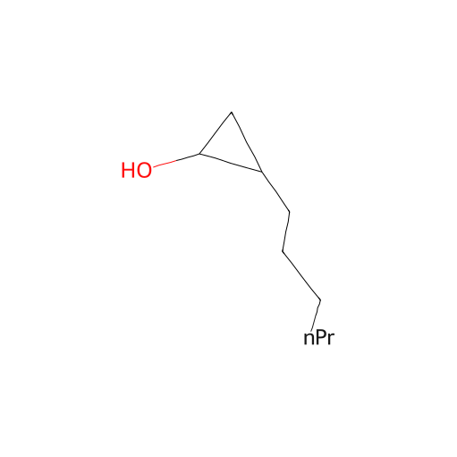 CCCCCCC1CC1O